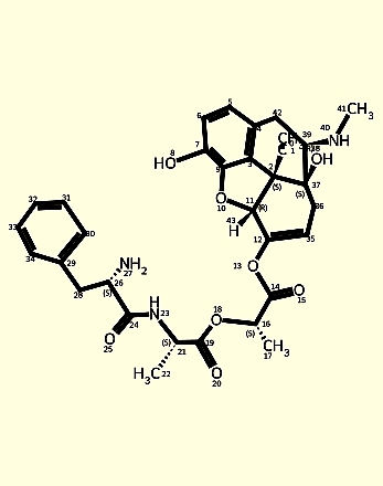 CC[C@]12c3c4ccc(O)c3O[C@H]1C(OC(=O)[C@H](C)OC(=O)[C@H](C)NC(=O)[C@@H](N)Cc1ccccc1)=CC[C@@]2(O)[C@H](NC)C4